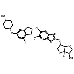 O[C@@H]1CO[C@H]2[C@@H]1OC[C@H]2Oc1nc2nc(N[C@H]3CCc4cc(O[C@H]5CC[C@@H](O)CC5)cc(F)c43)c(Cl)cc2[nH]1